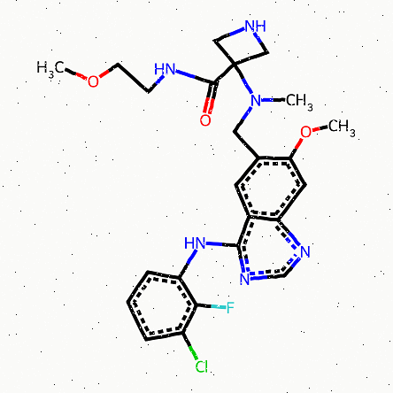 COCCNC(=O)C1(N(C)Cc2cc3c(Nc4cccc(Cl)c4F)ncnc3cc2OC)CNC1